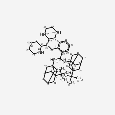 CC(C)(C)C12CC3CC(CC(PC(PC45CC6CC(C4)CC(C(C)(C)C)(C6)C5)c4ccccc4CP(C4CNCCN4)C4CNCCN4)(C3)C1)C2